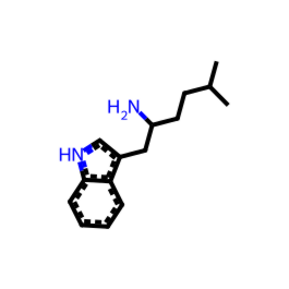 CC(C)CCC(N)Cc1c[nH]c2ccccc12